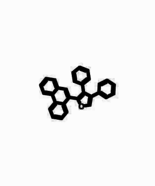 c1ccc(-c2coc(-c3cc4ccccc4c4ccccc34)c2-c2ccccc2)cc1